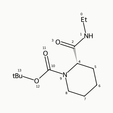 CCNC(=O)[C@@H]1CCCCN1C(=O)OC(C)(C)C